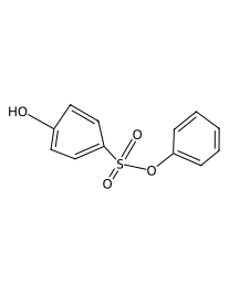 O=S(=O)(Oc1ccccc1)c1ccc(O)cc1